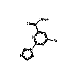 COC(=O)c1cc(Br)cc(-n2ccnc2)n1